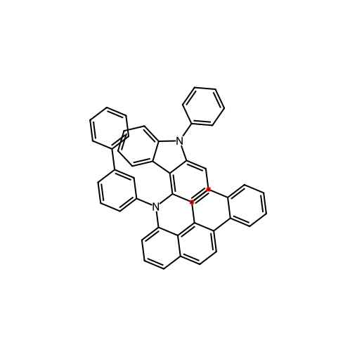 c1ccc(-c2cccc(N(c3cccc4ccc5c6ccccc6ccc5c34)c3cccc4c3c3ccccc3n4-c3ccccc3)c2)cc1